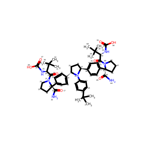 CC(C)(C)c1ccc(N2[C@H](c3ccc([C@]4(C(N)=O)CCCN4C(=O)[C@@H](NC(=O)O)C(C)(C)C)cc3)CC[C@H]2c2ccc([C@]3(C(N)=O)CCCN3C(=O)[C@@H](NC(=O)O)C(C)(C)C)cc2)cc1